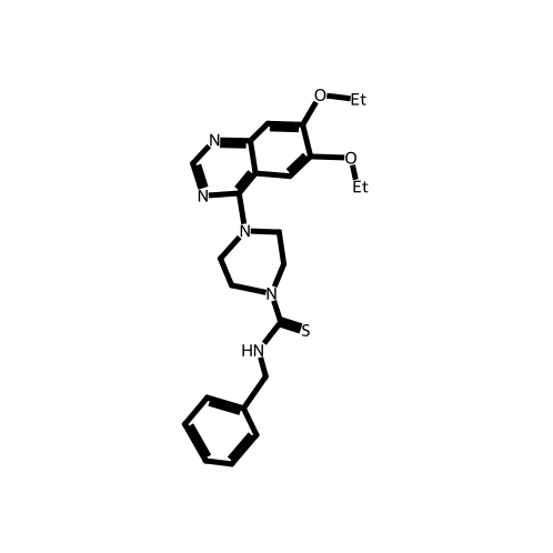 CCOc1cc2ncnc(N3CCN(C(=S)NCc4ccccc4)CC3)c2cc1OCC